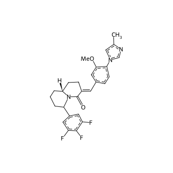 COc1cc(C=C2CC[C@H]3CCCC(c4cc(F)c(F)c(F)c4)N3C2=O)ccc1-n1cnc(C)c1